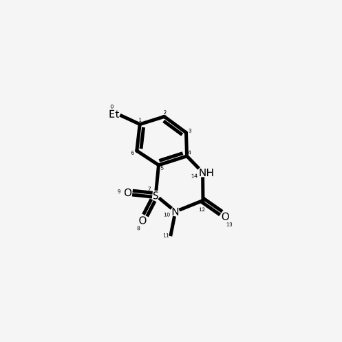 CCc1ccc2c(c1)S(=O)(=O)N(C)C(=O)N2